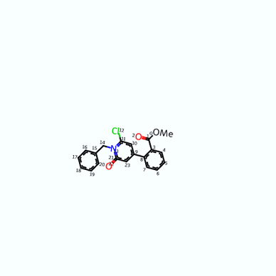 COC(=O)c1ccccc1-c1cc(Cl)n(Cc2ccccc2)c(=O)c1